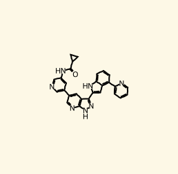 O=C(Nc1cncc(-c2cnc3[nH]nc(-c4cc5c(-c6ccccn6)cccc5[nH]4)c3c2)c1)C1CC1